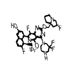 C#Cc1c(F)ccc2cc(O)cc(-c3nc(OC(C)C)c4c(N5CCNCC(F)(F)C5)nc(OC[C@@]56CCCN5C[C@H](F)C6)nc4c3F)c12